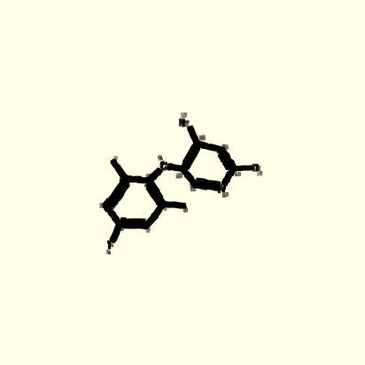 Cc1cc(F)cc(C)c1Oc1cnc(Br)cc1Br